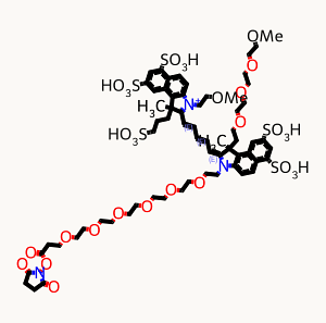 COCCOCCOCCOCCC1(C)\C(=C/C=C/C=C/C2=[N+](CCOC)c3ccc4c(S(=O)(=O)O)cc(S(=O)(=O)O)cc4c3C2(C)CCCS(=O)(=O)O)N(CCOCCOCCOCCOCCOCCOCCC(=O)ON2C(=O)CCC2=O)c2ccc3c(S(=O)(=O)O)cc(S(=O)(=O)O)cc3c21